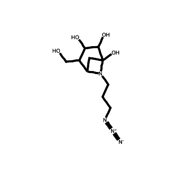 [N-]=[N+]=NCCCN1C2CC1(O)C(O)C(O)C2CO